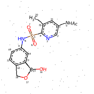 CC(=O)Nc1cnc(S(=O)(=O)Nc2ccc3c(c2)B(O)OC3)c(C)c1